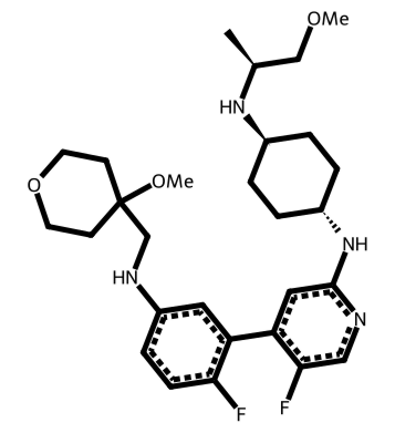 COC[C@H](C)N[C@H]1CC[C@H](Nc2cc(-c3cc(NCC4(OC)CCOCC4)ccc3F)c(F)cn2)CC1